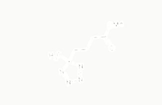 COC(=O)CCCC1(C)N=NN=N1